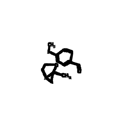 CC12CN1CCO2.CSc1ccc(C=O)cc1